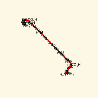 CN(Cc1cnc2nc(N)nc(N)c2n1)c1ccc(C(=O)N[C@@H](CCC(=O)NCCOCCOCCOCCOCCNC(=O)CCOCCOCCOCCOCCSSCCOCCOCCOCCOCCC(=O)NCCOCCOCCOCCOCCNC(=O)CC[C@@H](NC(=O)c2ccc(N(C)Cc3cnc4nc(N)nc(N)c4n3)cc2)C(=O)O)C(=O)O)cc1